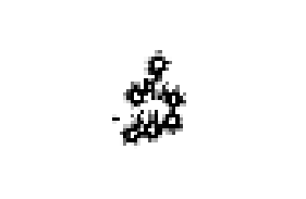 CC1(C)c2ccccc2-c2ccc(-c3cccc(-c4cccc(-c5nc(-c6ccccc6)nc(-c6ccccc6)n5)c4)c3)cc21